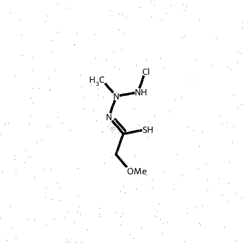 COC/C(S)=N/N(C)NCl